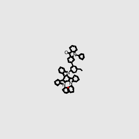 CCC1=CC(c2ccc3c(=O)c4ccccc4n(-c4ccccc4)c3c2)=CC(n2c3ccccc3c3c4c5ccccc5n(-c5ccccc5)c4c4c(c5ccccc5n4-c4ccccc4)c32)=CC1